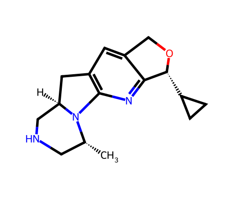 C[C@@H]1CNC[C@H]2Cc3cc4c(nc3N21)[C@@H](C1CC1)OC4